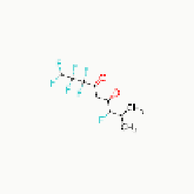 CC(C)C(F)C(=O)CC(=O)C(F)(F)C(F)(F)C(F)F